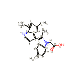 Cc1cc(C)c2nccc(-c3c(C)n(CC(=O)O)c4ccc(C)cc34)c2c1